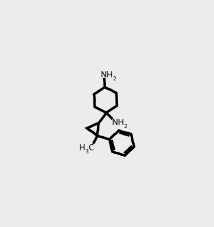 CC1(c2ccccc2)CC1C1(N)CCC(N)CC1